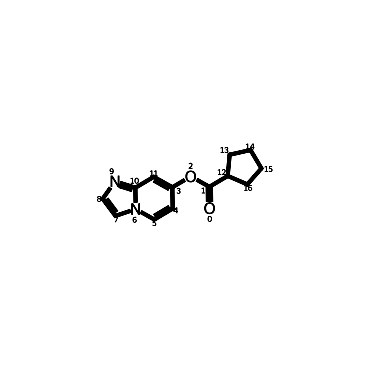 O=C(Oc1ccn2ccnc2c1)C1CCCC1